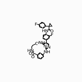 O=C(Nc1ccc(-c2cnc3nc2NCCCNS(=O)(=O)c2cccc(c2)N3)cc1F)C1(c2ccc(F)cc2)CC1